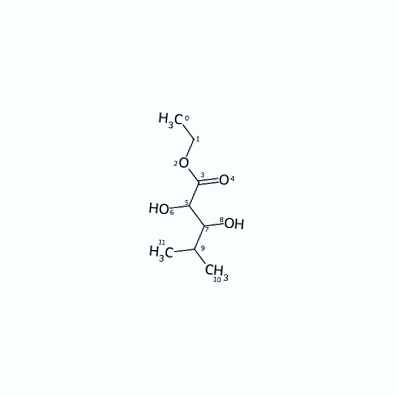 CCOC(=O)C(O)C(O)C(C)C